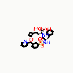 O=C(c1cccc(S(=O)(=O)N[C@@H](Cc2ccccc2)C(=O)N[C@@H](CCC2CCC2)B(O)O)c1)c1ccccn1